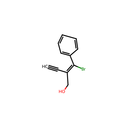 C#C/C(CO)=C(/Br)c1ccccc1